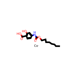 CCCCCCCCOC(=O)Nc1ccc(C(=O)O)c(O)c1.[Co]